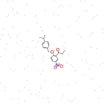 CCC(=O)c1cc([N+](=O)[O-])ccc1OCc1ccc(C(C)C)cc1